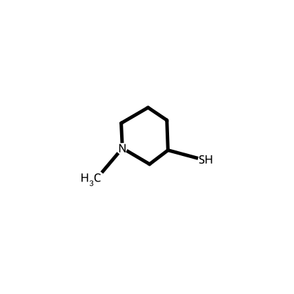 CN1CCCC(S)C1